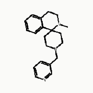 CN1CCc2ccccc2C12CCN(Cc1cccnc1)CC2